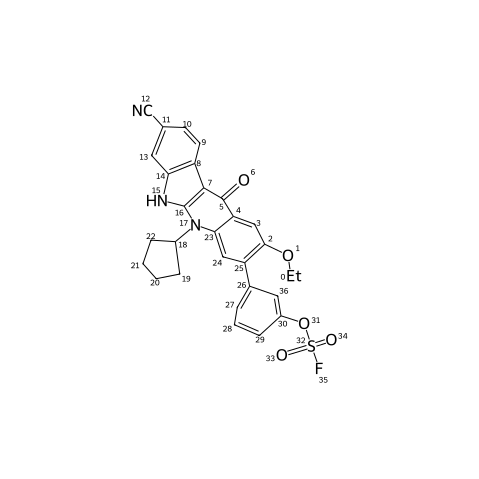 CCOc1cc2c(=O)c3c4ccc(C#N)cc4[nH]c3n(C3CCCC3)c2cc1-c1cccc(OS(=O)(=O)F)c1